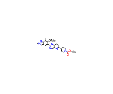 COc1c(-c2ncc3nc(C4=CCN(C(=O)OC(C)(C)C)CC4)ccc3n2)cc2cn(C)nc2c1C